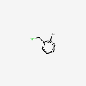 CC(=O)c1ccccc1CCl